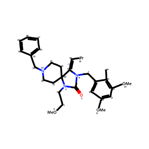 COCCN1C(=O)N(Cc2cc(OC)cc(OC)c2C)/C(=C\C(C)C)C12CCN(Cc1ccccc1)CC2